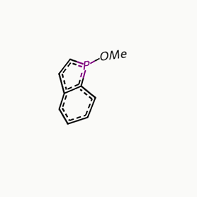 COp1ccc2ccccc21